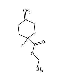 C=C1CCC(F)(C(=O)OCC)CC1